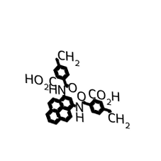 C=Cc1ccc(C(=O)Nc2cc(NC(=O)c3ccc(C=C)cc3C(=O)O)c3ccc4cccc5ccc2c3c54)c(C(=O)O)c1